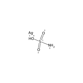 NS(=O)(=O)O.[Ag]